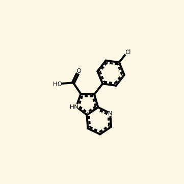 O=C(O)c1[nH]c2cccnc2c1-c1ccc(Cl)cc1